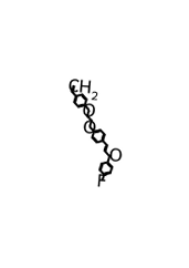 C=Cc1ccc(OCCOc2ccc(C=CC(=O)c3ccc(F)cc3)cc2)cc1